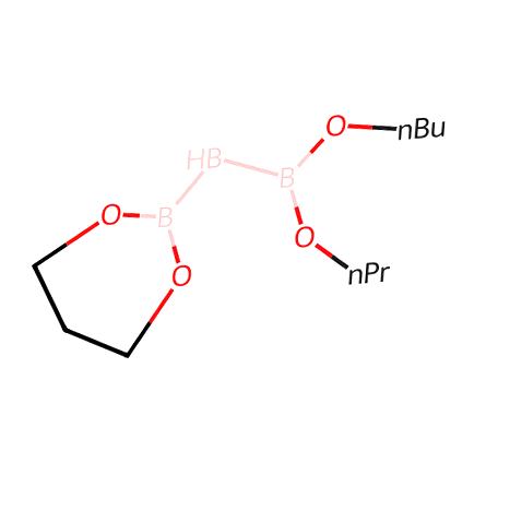 CCCCOB(BB1OCCCO1)OCCC